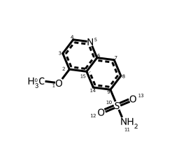 COc1ccnc2ccc(S(N)(=O)=O)cc12